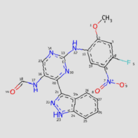 COc1cc(F)c([N+](=O)[O-])cc1Nc1ncc(NC=O)c(-c2n[nH]c3ccccc23)n1